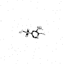 CC(=O)c1ncc(S(C)(=O)=O)cc1N